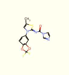 Cc1cn(-c2ccc3c(c2)OC(F)(F)O3)c(=NC(=O)n2ccnc2)s1